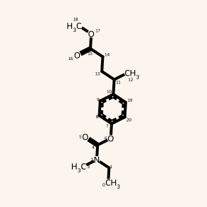 CCN(C)C(=O)Oc1ccc(C(C)CCC(=O)OC)cc1